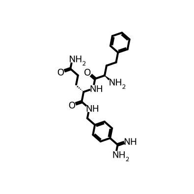 N=C(N)c1ccc(CNC(=O)[C@H](CCC(N)=O)NC(=O)[C@H](N)CCc2ccccc2)cc1